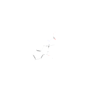 CC(Cc1ccccc1)(NC(=O)O)[C@@H]1CO1